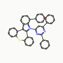 c1ccc(-c2cc(-n3c4c(c5cccc(-c6ccccc6)c53)-c3ccccc3Sc3ccccc3-4)nc(-c3ccccc3)n2)cc1